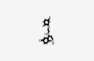 [O-][S+]1CCC(NCCOc2cc(F)ccc2F)c2cc(Cl)ccc21